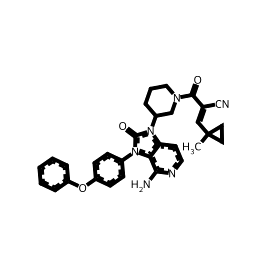 CC1(C=C(C#N)C(=O)N2CCCC(n3c(=O)n(-c4ccc(Oc5ccccc5)cc4)c4c(N)nccc43)C2)CC1